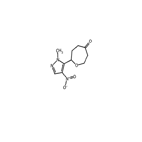 Cn1ncc([N+](=O)[O-])c1C1CCC(=O)CCO1